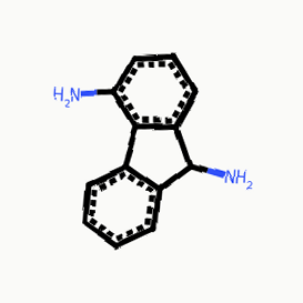 Nc1cccc2c1-c1ccccc1C2N